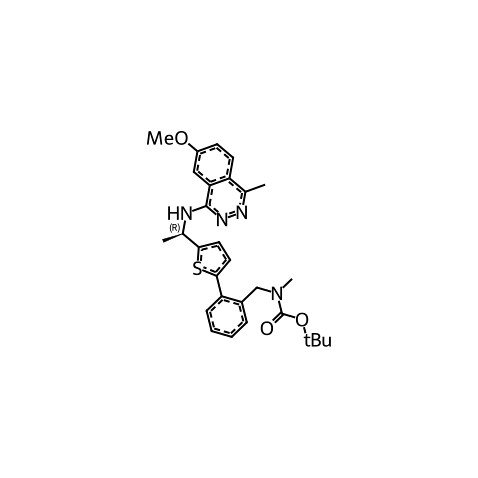 COc1ccc2c(C)nnc(N[C@H](C)c3ccc(-c4ccccc4CN(C)C(=O)OC(C)(C)C)s3)c2c1